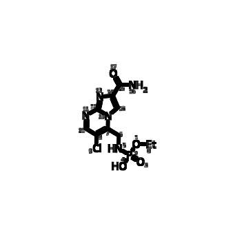 CCOP(=O)(O)NCc1c(Cl)cnc2nc(C(N)=O)cn12